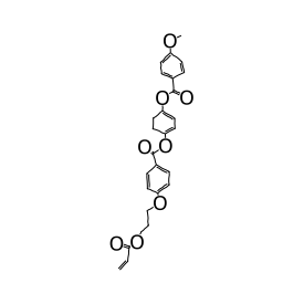 C=CC(=O)OCCCOc1ccc(C(=O)OC2=CC=C(OC(=O)c3ccc(OC)cc3)CC2)cc1